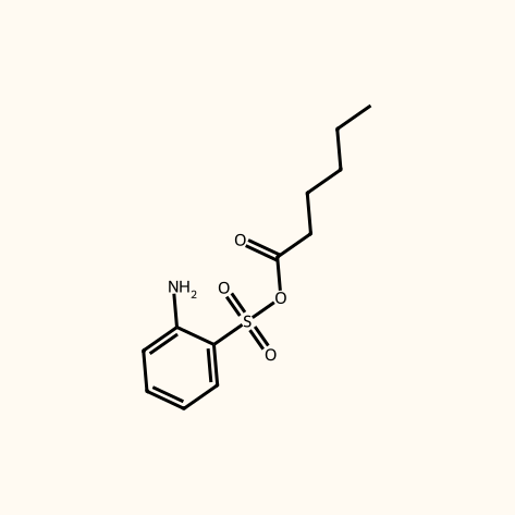 CCCCCC(=O)OS(=O)(=O)c1ccccc1N